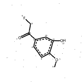 COc1ccc(C(=O)CF)cc1O